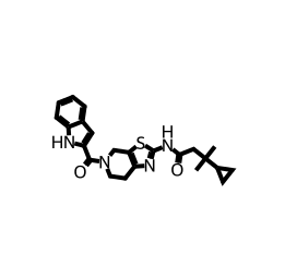 CC(C)(CC(=O)Nc1nc2c(s1)CN(C(=O)c1cc3ccccc3[nH]1)CC2)C1CC1